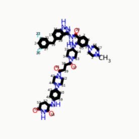 CN1CCN(c2ccc(C(=O)Nc3n[nH]c4ccc(Cc5cc(F)cc(F)c5)cc34)c(NC3CCN(C(=O)CCC(=O)N4CCN(c5ccc(NC6CCC(=O)NC6=O)cc5)CC4)CC3)c2)CC1